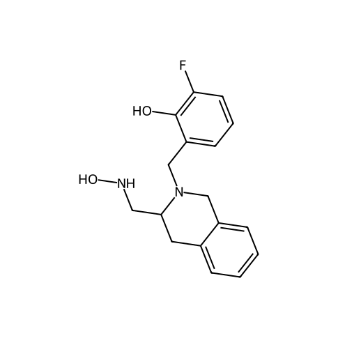 ONCC1Cc2ccccc2CN1Cc1cccc(F)c1O